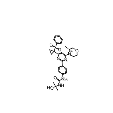 C[C@H]1COCCN1c1cc(C2(S(=O)(=O)c3ccccc3)CC2)nc(-c2ccc(NC(=O)NC(C)(C)O)cc2)n1